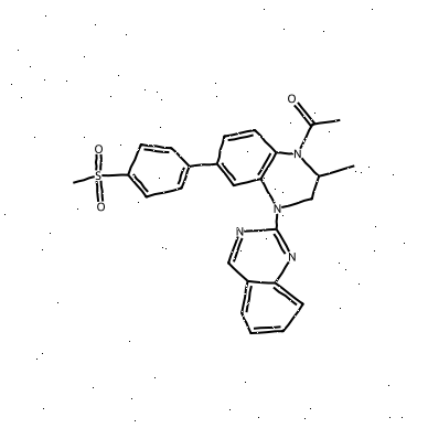 CC(=O)N1c2ccc(-c3ccc(S(C)(=O)=O)cc3)cc2N(c2ncc3ccccc3n2)CC1C